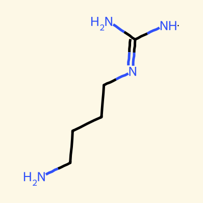 [NH]C(N)=NCCCCN